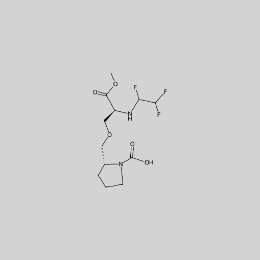 COC(=O)[C@H](COC[C@H]1CCCN1C(=O)O)NC(F)C(F)F